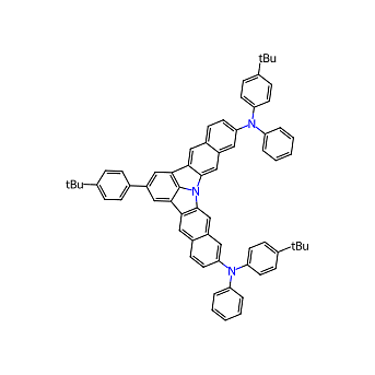 CC(C)(C)c1ccc(-c2cc3c4cc5ccc(N(c6ccccc6)c6ccc(C(C)(C)C)cc6)cc5cc4n4c5cc6cc(N(c7ccccc7)c7ccc(C(C)(C)C)cc7)ccc6cc5c(c2)c34)cc1